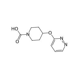 O=C(O)N1CCC(Oc2cccnn2)CC1